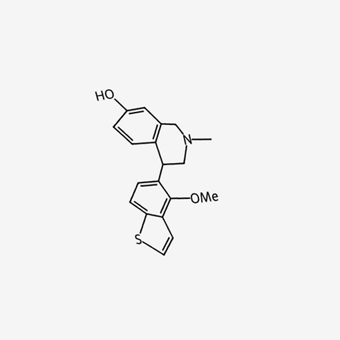 COc1c(C2CN(C)Cc3cc(O)ccc32)ccc2sccc12